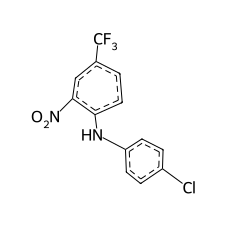 O=[N+]([O-])c1cc(C(F)(F)F)ccc1Nc1ccc(Cl)cc1